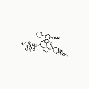 COc1ccc(C2CCCCC2)c2c1cc1n2CC2=C(C(=O)NS(=O)(=O)N(C)C)C2=C2C=CC[C@@H](C(=O)N3CC4CN(C)CC(C3)N4)C21